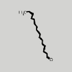 C/C=C\CCCCCCCCCCCCC=O